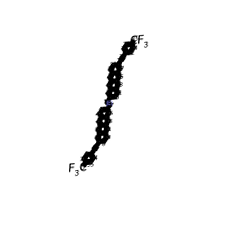 FC(F)(F)c1ccc(C#Cc2ccc3cc4cc5cc(/C=C/c6ccc7cc8cc9cc(C#Cc%10ccc(C(F)(F)F)cc%10)ccc9cc8cc7c6)ccc5cc4cc3c2)cc1